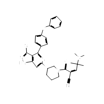 CN(C)C(C)(C)/C=C(/C#N)C(=O)N1CCC[C@@H](c2cc3[nH]nc(N)c3c(-c3ccc(Oc4ccccc4)cc3)n2)C1